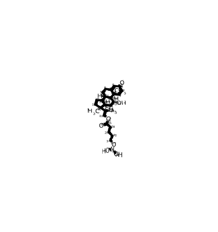 C[C@]12C=CC(=O)C=C1CC[C@@H]1[C@@H]2[C@@H](O)C[C@@]2(C)[C@H]1CC[C@]2(C)C(=O)COC(=O)CCCCON(O)O